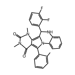 Cc1ccccc1-c1c2c(=O)n(C)c(=O)n(C)c2c2n1-c1ccccc1NC2c1cccc(F)c1F